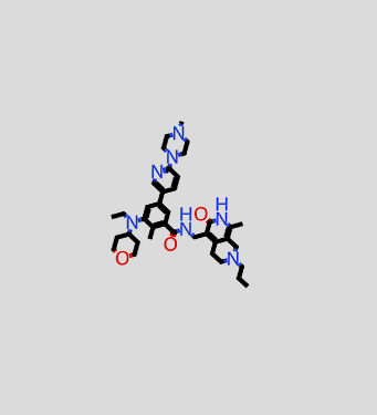 CCCN1CCc2c(c(C)[nH]c(=O)c2CNC(=O)c2cc(-c3ccc(N4CCN(C)CC4)nc3)cc(N(CC)C3CCOCC3)c2C)C1